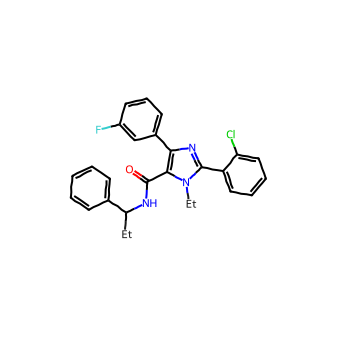 CCC(NC(=O)c1c(-c2cccc(F)c2)nc(-c2ccccc2Cl)n1CC)c1ccccc1